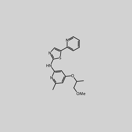 COCC(C)Oc1cc(C)nc(Nc2ncc(-c3ccccn3)s2)c1